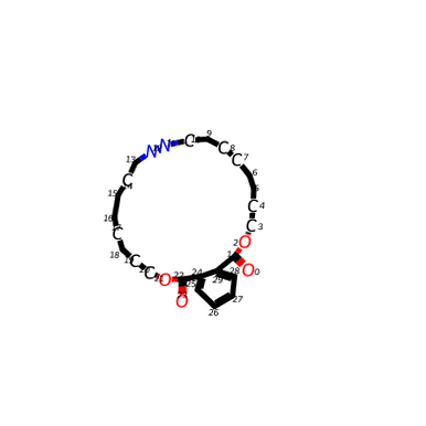 O=C1OCCCCCCCCN=NCCCCCCCCOC(=O)c2ccccc21